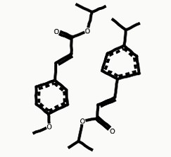 CC(C)OC(=O)C=Cc1ccc(C(C)C)cc1.COc1ccc(C=CC(=O)OC(C)C)cc1